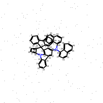 c1ccc2c(c1)-c1ccccc1C21c2ccccc2-n2c3ccccc3c3cc(N(c4cccc5ccccc45)c4cccc5ccccc45)cc1c32